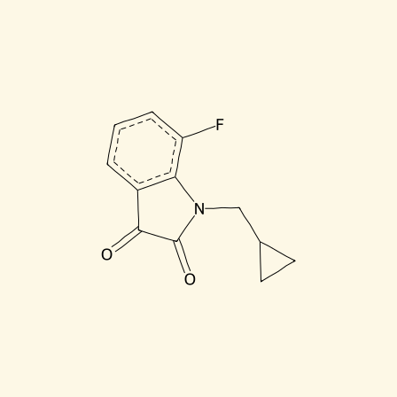 O=C1C(=O)N(CC2CC2)c2c(F)cccc21